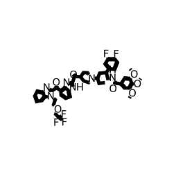 CCC(CC(CNC(=O)c1cc(OC)c(OC)c(OC)c1)c1ccc(F)c(F)c1)N1CCC(C(=O)c2nc3c(C(=O)c4nc5ccccc5n4CCOCC(F)(F)F)cccc3[nH]2)CC1